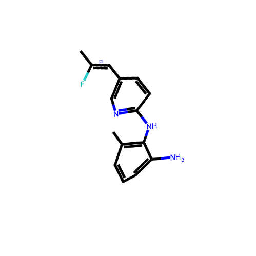 C/C(F)=C/c1ccc(Nc2c(C)cccc2N)nc1